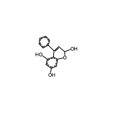 Oc1cc(O)c2c(c1)OC(O)C=C2c1ccccc1